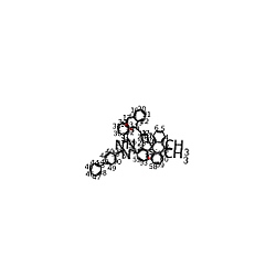 CC1(C)c2ccccc2C2(c3ccc(-c4cccc5ccccc45)cc3-c3c(-c4nc(-c5ccccc5)nc(-c5ccc(-c6ccccc6)cc5)n4)cccc32)c2ccccc21